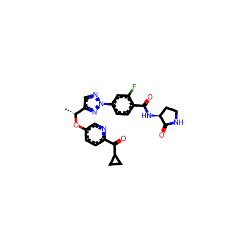 C[C@@H](Oc1ccc(C(=O)C2CC2)nc1)c1cnn(-c2ccc(C(=O)N[C@H]3CCNC3=O)c(F)c2)n1